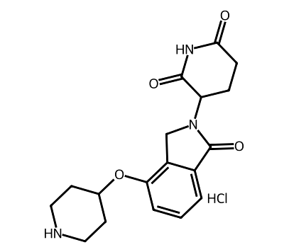 Cl.O=C1CCC(N2Cc3c(OC4CCNCC4)cccc3C2=O)C(=O)N1